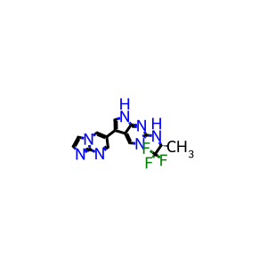 C[C@@H](Nc1ncc2c(-c3cnc4nccn4c3)c[nH]c2n1)C(F)(F)F